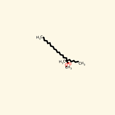 CCCCCCCCCCCCCCCCC(C)(CCCCCC)C(=O)OC